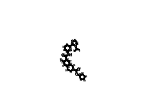 CC(C)n1nnnc1-c1cccc(NC(=O)c2cc3c(cc2F)CCN(C(=O)OC2CCCC2)C3)n1